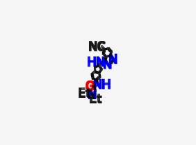 CCN(CC)CC(=O)Nc1ccc2c(c1)CC(Nc1ncnc3ccc(C#N)cc13)C2